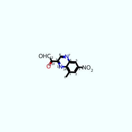 Cc1cc([N+](=O)[O-])cc2ncc(C(=O)C=O)nc12